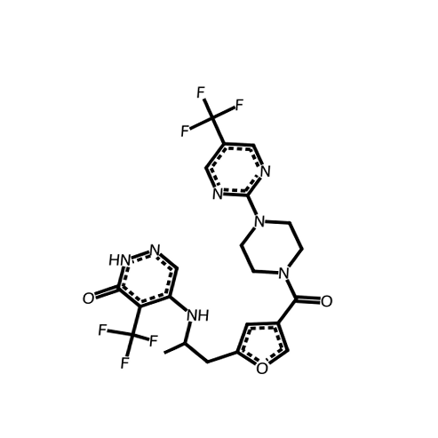 CC(Cc1cc(C(=O)N2CCN(c3ncc(C(F)(F)F)cn3)CC2)co1)Nc1cn[nH]c(=O)c1C(F)(F)F